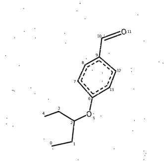 CCC(CC)Oc1ccc(C=O)cc1